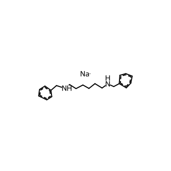 [Na].c1ccc(CNCCCCCCNCc2ccccc2)cc1